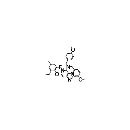 CCc1cc(C)cc(F)c1Oc1cc2c(ncn2C)c(N(Cc2ccc(OC)cc2)Cc2ccc(OC)cc2)n1